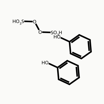 O=S(=O)(O)OOS(=O)(=O)O.Oc1ccccc1.Oc1ccccc1